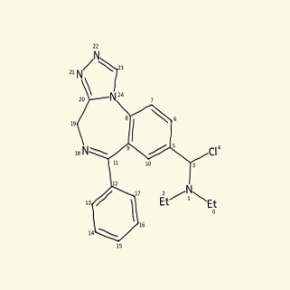 CCN(CC)C(Cl)c1ccc2c(c1)C(c1ccccc1)=NCc1nncn1-2